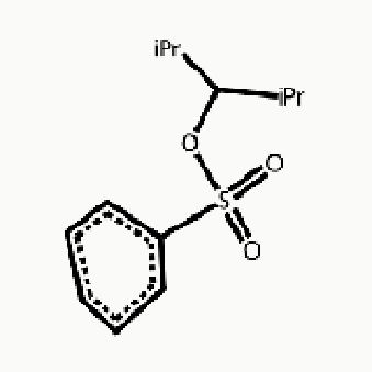 CC(C)C(OS(=O)(=O)c1ccccc1)C(C)C